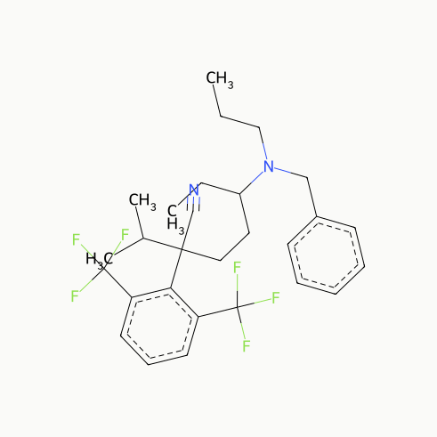 CCCN(Cc1ccccc1)C(CC)CCC(C#N)(c1c(C(F)(F)F)cccc1C(F)(F)F)C(C)C